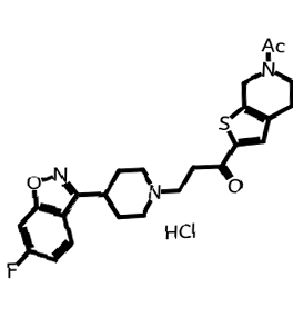 CC(=O)N1CCc2cc(C(=O)CCN3CCC(c4noc5cc(F)ccc45)CC3)sc2C1.Cl